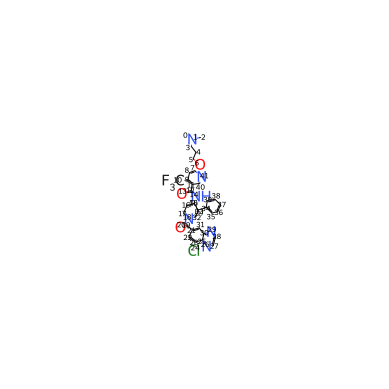 CN(C)CCCOc1cc(C(F)(F)F)c(C(=O)N[C@@H]2CCN(C(=O)c3cc(Cl)c4nccnc4c3)C[C@@H]2c2ccccc2)cn1